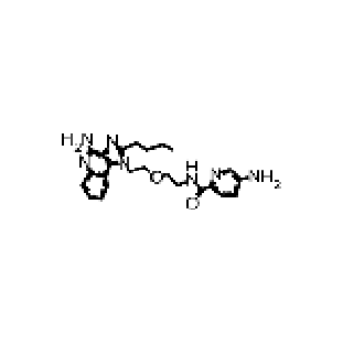 CCCCc1nc2c(N)nc3ccccc3c2n1CCOCCNC(=O)c1ccc(N)cn1